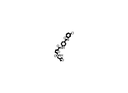 N=S(=O)(CC1COC1)c1ccc(C(=O)NC2CCC(c3nc4cc(Cl)ccc4o3)CC2)o1